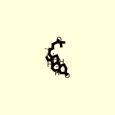 C[C@H](CCC1OC1(C)C)[C@H]1CC[C@H]2[C@@H]3CC[C@@H]4CC(=O)CC[C@]4(C)[C@H]3CC[C@]12C